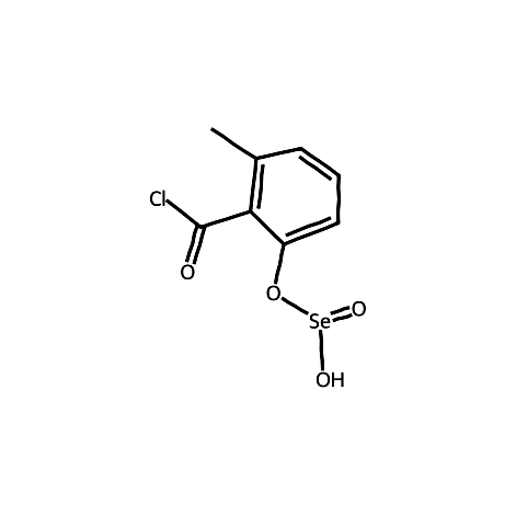 Cc1cccc(O[Se](=O)O)c1C(=O)Cl